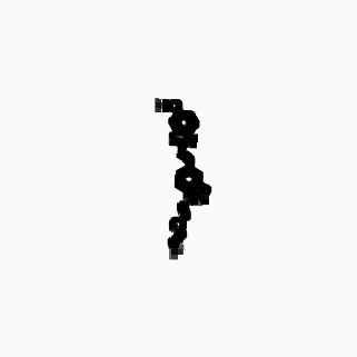 Oc1ccc2nc(/C=C/c3ccc4c(cnn4CCOCCF)c3)sc2c1